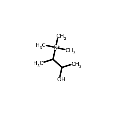 CC(O)C(C)[N+](C)(C)C